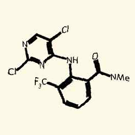 CNC(=O)c1cccc(C(F)(F)F)c1Nc1nc(Cl)ncc1Cl